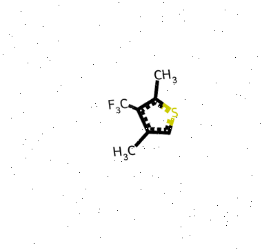 Cc1csc(C)c1C(F)(F)F